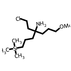 COCCCC(N)(CCCl)CCC[Si](C)(C)C